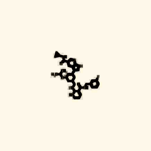 CC(C)O[C@H]1C=C(c2c[nH]c3ncc(C(=O)NC4CC4)cc23)CC(CNC2NC=CC=C2C(=O)NCc2cccc(F)c2)C1